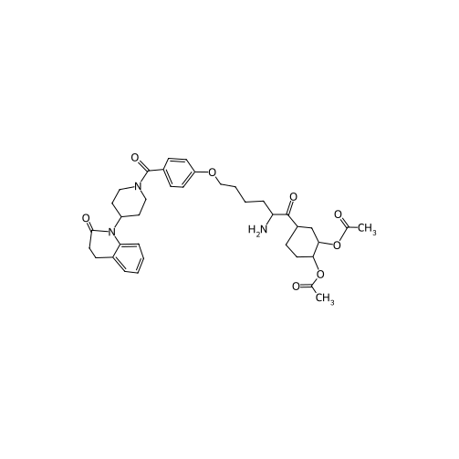 CC(=O)OC1CCC(C(=O)C(N)CCCCOc2ccc(C(=O)N3CCC(N4C(=O)CCc5ccccc54)CC3)cc2)CC1OC(C)=O